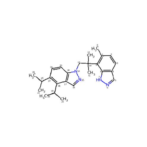 Cc1ccc2cn[nH]c2c1C(C)(C)Cn1ncc2c(C(C)C)c(C(C)C)ccc21